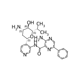 CC(C)[C@@H]1O[C@H](c2ccncc2NC(=O)c2nc(-c3ccccc3)cnc2N)C[C@H](N)[C@H]1O